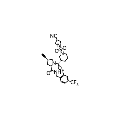 C#C[C@@H]1C[C@H](C(=O)NCc2ccc(C(F)(F)F)cc2F)N(C(=O)[C@H]2CCCN(S(=O)(=O)N3CC(C#N)C3)C2)C1